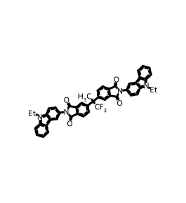 CCn1c2ccccc2c2cc(N3C(=O)c4ccc(C(C)(c5ccc6c(c5)C(=O)N(c5ccc7c(c5)c5ccccc5n7CC)C6=O)C(F)(F)F)cc4C3=O)ccc21